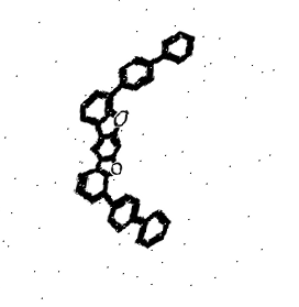 C1=Cc2c(oc3cc4oc5c(-c6ccc(-c7ccccc7)cc6)cccc5c4cc23)C(c2ccc(-c3ccccc3)cc2)C1